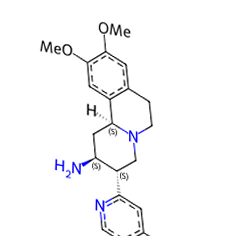 CCc1ccnc([C@H]2CN3CCc4cc(OC)c(OC)cc4[C@@H]3C[C@@H]2N)c1